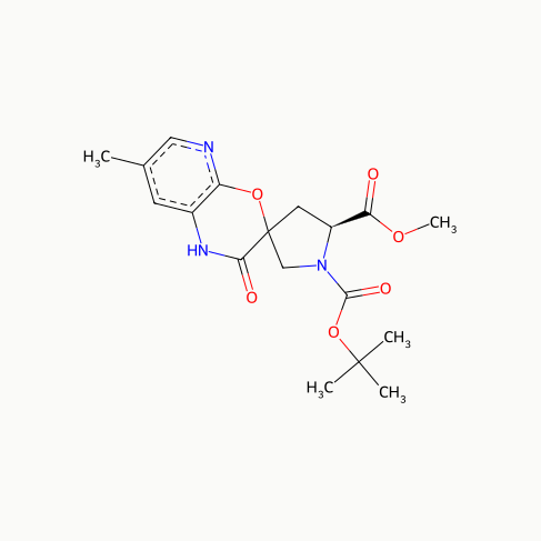 COC(=O)[C@@H]1CC2(CN1C(=O)OC(C)(C)C)Oc1ncc(C)cc1NC2=O